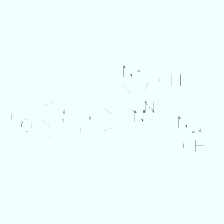 COc1cccc(Oc2ccc(-c3nn([C@@H]4CCN(C(C)=O)C4)c4c(C)cncc34)cc2)c1F